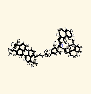 O=C(CCCc1ccc2c3ccc(C(F)(F)F)c4c(C(F)(F)F)ccc(c5ccc(C(F)(F)F)c1c25)c43)Oc1cc(F)c(/C(=C2\C=C3CCCc4ccccc4C3=N2)c2cc3c(n2CB(F)F)-c2ccccc2CCC3)c(F)c1